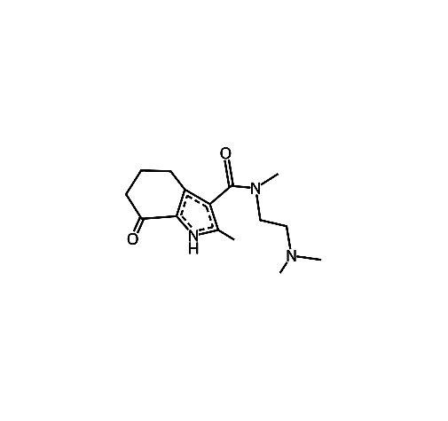 Cc1[nH]c2c(c1C(=O)N(C)CCN(C)C)CCCC2=O